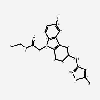 CCOC(=O)Cn1c2c(c3cc(F)ccc31)CC(Nc1cc(C)on1)CC2